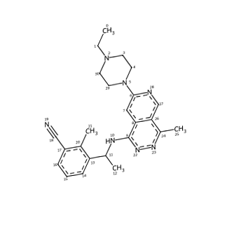 CCN1CCN(c2cc3c(NC(C)c4cccc(C#N)c4C)nnc(C)c3cn2)CC1